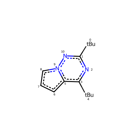 CC(C)(C)c1nc(C(C)(C)C)c2cccn2n1